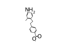 COC(=O)c1ccc(CCc2ccc(N)cc2C)cc1